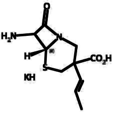 CC=CC1(C(=O)O)CS[C@@H]2C(N)C(=O)N2C1.[KH]